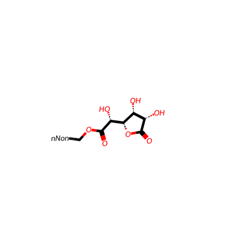 CCCCCCCCCCOC(=O)[C@H](O)[C@H]1OC(=O)[C@@H](O)[C@H]1O